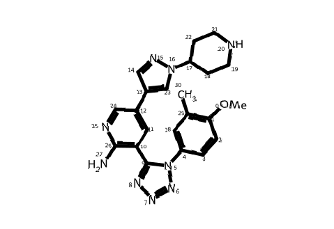 COc1ccc(-n2nnnc2-c2cc(-c3cnn(C4CCNCC4)c3)cnc2N)cc1C